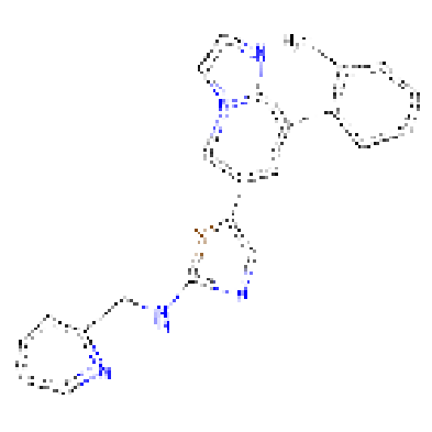 Cc1ccccc1-c1cc(-c2cnc(NCc3ccccn3)s2)cn2ccnc12